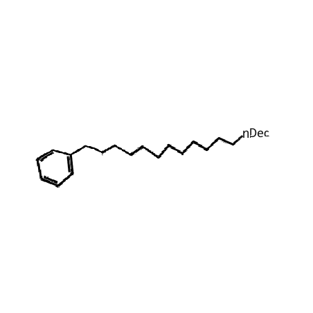 CCCCCCCCCCCCCCCCCCCC[CH]Cc1ccccc1